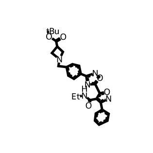 CCNC(=O)c1c(-c2ccccc2)noc1-c1nc(-c2ccc(CN3CC(C(=O)OC(C)(C)C)C3)cc2)no1